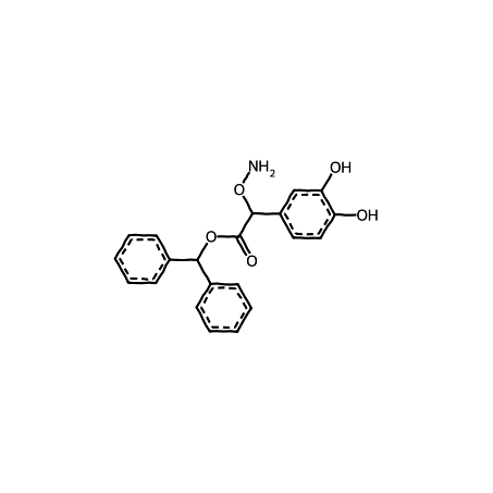 NOC(C(=O)OC(c1ccccc1)c1ccccc1)c1ccc(O)c(O)c1